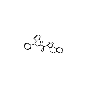 O=C(NCC(c1ccccc1)n1ccnc1)c1noc2c1CCc1ccccc1-2